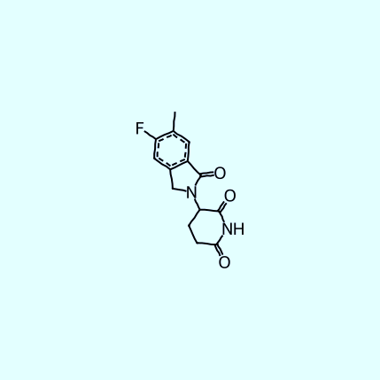 Cc1cc2c(cc1F)CN(C1CCC(=O)NC1=O)C2=O